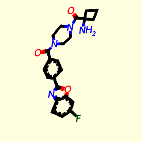 NC1(C(=O)N2CCN(C(=O)c3ccc(-c4nc5ccc(F)cc5o4)cc3)CC2)CCC1